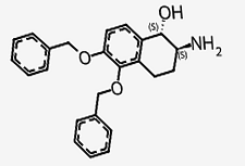 N[C@H]1CCc2c(ccc(OCc3ccccc3)c2OCc2ccccc2)[C@@H]1O